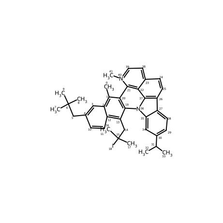 Cc1c2cc(CC(C)(C)C)ccc2c(CC(C)(C)I)c2c1c1c3c(ccc4c5ccc(C(C)C)cc5n2c43)cc[n+]1C